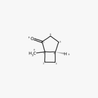 CC12CC[C@@H]1CCC2=O